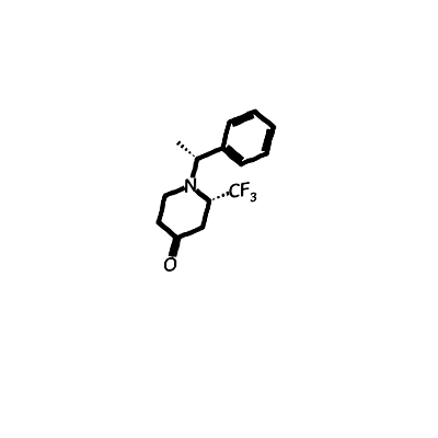 C[C@H](c1ccccc1)N1CCC(=O)C[C@H]1C(F)(F)F